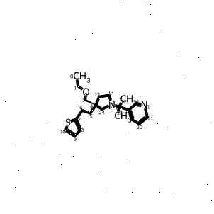 CCOC[C@@]1(CCc2cccs2)CCN(C(C)(C)c2cccnc2)C1